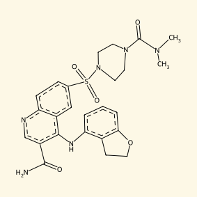 CN(C)C(=O)N1CCN(S(=O)(=O)c2ccc3ncc(C(N)=O)c(Nc4cccc5c4CCO5)c3c2)CC1